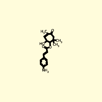 CC1=CC(O)C(OC(=O)/C=C/c2ccc(N)cc2)C(C)(C)CC1=O